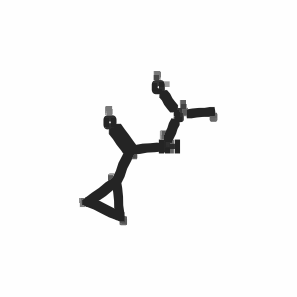 C[S+]([O-])NC(=O)C1CC1